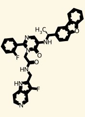 C[C@@H](Nc1cnc(-c2ccccc2F)n(CC(=O)NCc2[nH]c3ccncc3c2F)c1=O)c1ccc2oc3ccccc3c2c1